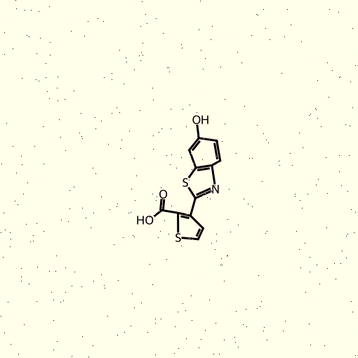 O=C(O)c1sccc1-c1nc2ccc(O)cc2s1